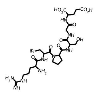 CC(C)CC(NC(=O)C(N)CCCNC(=N)N)C(=O)N1CCCC1C(=O)NC(CO)C(=O)NCC(=O)NC(CCC(=O)O)C(=O)O